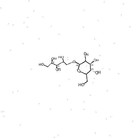 OCC1O[C@@H](OCC(O)[C@@H](O)[C@H](O)CO)C(O)[C@@H](O)[C@@H]1O